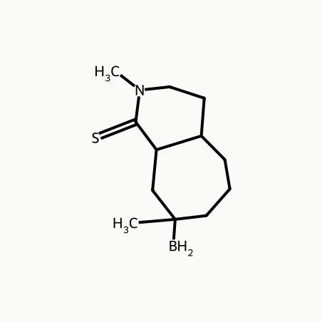 BC1(C)CCCC2CCN(C)C(=S)C2C1